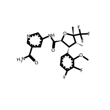 COc1c([C@@H]2[C@@H](C(=O)Nc3cncc(C(N)=O)c3)O[C@](C)(C(F)(F)F)[C@@H]2C)ccc(F)c1F